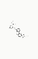 CNS(=O)(=O)c1ccc(Cl)c(-c2cccc(NC(=O)[C@@H]3C[C@@H](F)CN3C(=O)OC(C)(C)C)c2F)c1